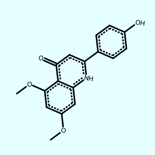 COc1cc(OC)c2c(=O)cc(-c3ccc(O)cc3)[nH]c2c1